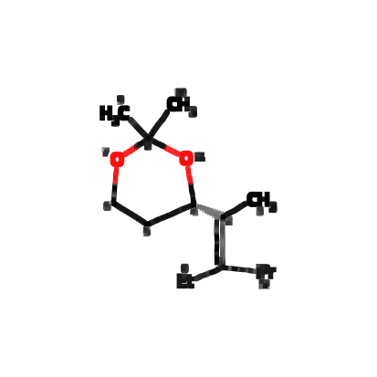 CC/C(=C(/C)[C@@H]1CCOC(C)(C)O1)C(C)C